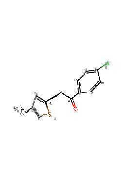 Cc1csc(CC(=O)c2ccc(Br)cc2)c1